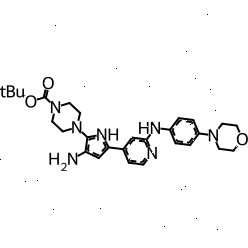 CC(C)(C)OC(=O)N1CCN(c2[nH]c(-c3ccnc(Nc4ccc(N5CCOCC5)cc4)c3)cc2N)CC1